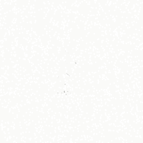 COc1ccc(-c2csc(S)n2)cc1